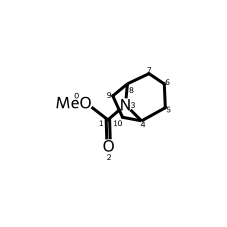 COC(=O)N1C2CCCC1CC2